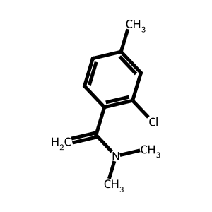 C=C(c1ccc(C)cc1Cl)N(C)C